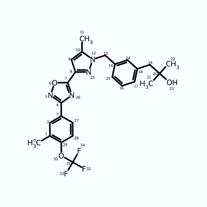 Cc1cc(-c2noc(-c3cc(C)n(Cc4cccc(CC(C)(C)O)c4)n3)n2)ccc1OC(F)(F)F